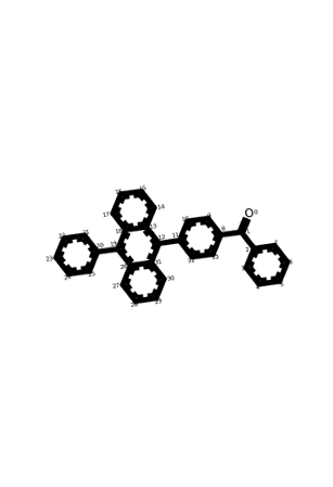 O=C(c1ccccc1)c1ccc(-c2c3ccccc3c(-c3ccccc3)c3ccccc23)cc1